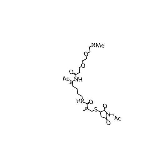 CNCCOCCOCCC(=O)N[C@@H](CCCCNC(=O)[C@H](C)CSC1CC(=O)N(CC(C)=O)C1=O)C(C)=O